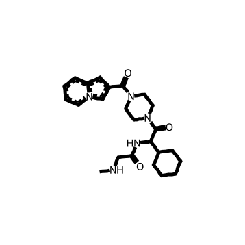 CNCC(=O)NC(C(=O)N1CCN(C(=O)c2cc3ccccn3c2)CC1)C1CCCCC1